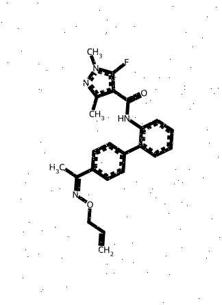 C=CCO/N=C(/C)c1ccc(-c2ccccc2NC(=O)c2c(C)nn(C)c2F)cc1